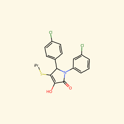 CC(C)SC1=C(O)C(=O)N(c2cccc(Cl)c2)C1c1ccc(Cl)cc1